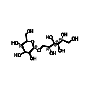 OCC1O[C@H](OC[C@@H](O)[C@@H](O)[C@H](O)[C@H](O)CO)C(O)C(O)[C@@H]1O